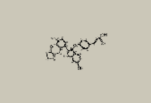 O=C(O)C=Cc1ccc(Oc2c(-c3ccc(F)cc3CN3CCCC3=O)sc3cc(O)ccc23)cc1